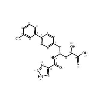 O=C(NC(Cc1ccc(-c2cccc(Cl)c2)cc1)CC(O)C(=O)O)c1c[nH]nn1